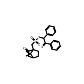 CC1(C)C2CCC1(CS(=O)(=O)OC(C(=O)c1ccccc1)c1ccccc1)C(=O)C2